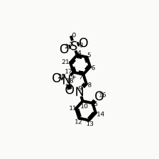 CS(=O)(=O)c1ccc(C=NC2C=CC=CC2=O)c([N+](=O)[O-])c1